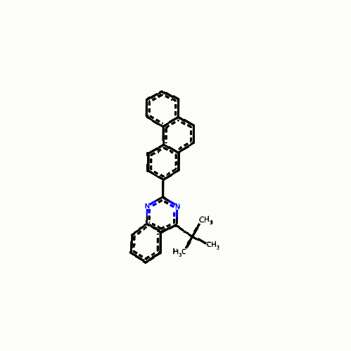 CC(C)(C)c1nc(-c2ccc3c(ccc4ccccc43)c2)nc2ccccc12